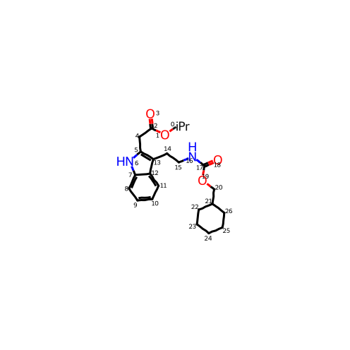 CC(C)OC(=O)Cc1[nH]c2ccccc2c1CCNC(=O)OCC1CCCCC1